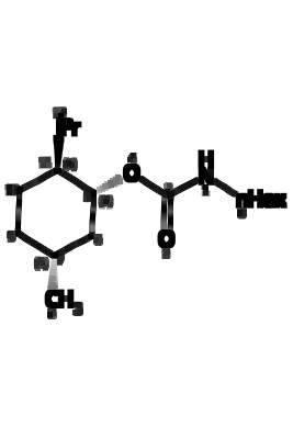 CCCCCCNC(=O)O[C@@H]1C[C@H](C)CC[C@H]1C(C)C